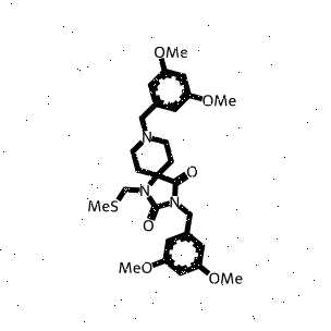 COc1cc(CN2CCC3(CC2)C(=O)N(Cc2cc(OC)cc(OC)c2)C(=O)N3CSC)cc(OC)c1